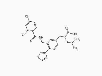 CC(C)OC(Cc1ccc(-c2ccsc2)c(CNC(=O)c2ccc(Cl)cc2Cl)c1)C(=O)O